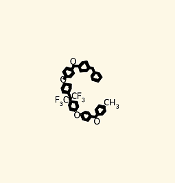 Cc1ccc(C(=O)c2ccc(Oc3ccc(C(c4ccc(Oc5ccc(C(=O)c6ccc(Cc7ccccc7)cc6)cc5)cc4)(C(F)(F)F)C(F)(F)F)cc3)cc2)cc1